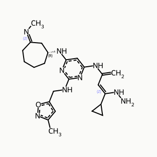 C=C(/C=C(\NN)C1CC1)Nc1cc(N[C@@H]2CCCC/C(=N/C)C2)nc(NCc2cc(C)no2)n1